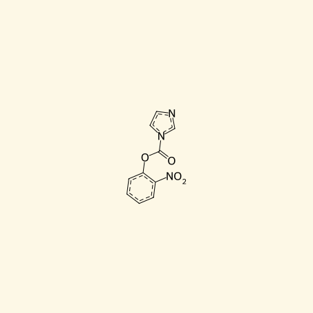 O=C(Oc1ccccc1[N+](=O)[O-])n1ccnc1